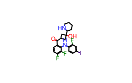 O=C(c1ccc(F)c(F)c1Nc1ccc(I)cc1F)C1CC(O)(C2CCCCN2)C1